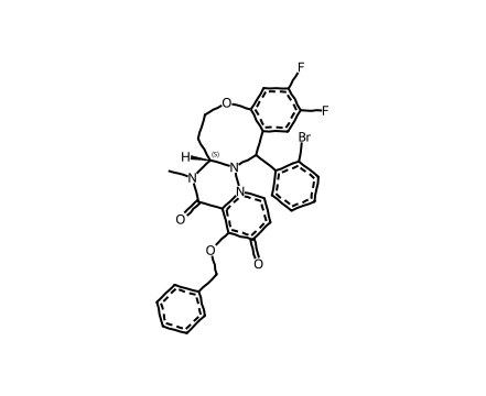 CN1C(=O)c2c(OCc3ccccc3)c(=O)ccn2N2C(c3ccccc3Br)c3cc(F)c(F)cc3OCC[C@@H]12